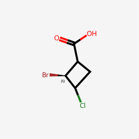 O=C(O)C1CC(Cl)[C@H]1Br